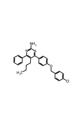 CCCCc1c(-c2ccccc2)nc(N)nc1-c1ccc(OCc2ccc(Cl)cc2)cc1